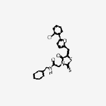 O=C(CN1C(=O)C(=Cc2ccc(-c3ccccc3Cl)o2)SC1=S)NCC1CCCCC1